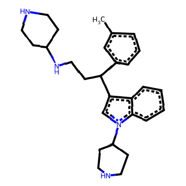 Cc1cccc(C(CCNC2CCNCC2)c2cn(C3CCNCC3)c3ccccc23)c1